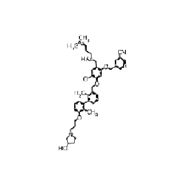 Cc1c(COc2cc(OCc3cncc(C#N)c3)c(C[AsH]CCC[As](C)C)cc2Cl)cccc1-c1cccc(OCCCN2CC[C@@H](O)C2)c1C